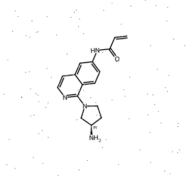 C=CC(=O)Nc1ccc2c(N3CC[C@@H](N)C3)nccc2c1